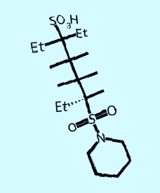 CCC(CC)(C(C)(C)C(C)(C)[C@](C)(CC)S(=O)(=O)N1CCCCC1)S(=O)(=O)O